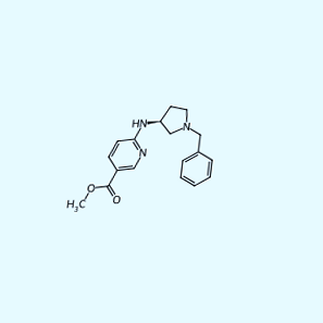 COC(=O)c1ccc(N[C@H]2CCN(Cc3ccccc3)C2)nc1